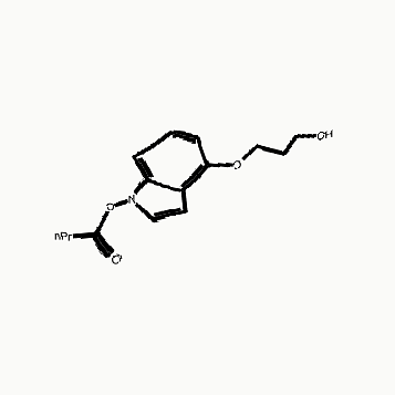 CCCC(=O)On1ccc2c(OCCCO)cccc21